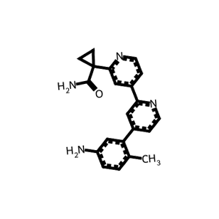 Cc1ccc(N)cc1-c1ccnc(-c2ccnc(C3(C(N)=O)CC3)c2)c1